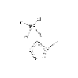 Cn1ccnc1.[Cl][Fe]([Cl])([Cl])[Cl]